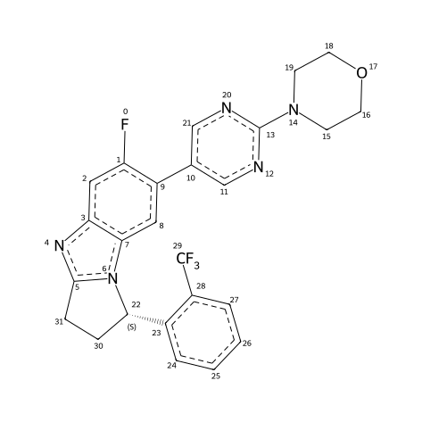 Fc1cc2nc3n(c2cc1-c1cnc(N2CCOCC2)nc1)[C@H](c1ccccc1C(F)(F)F)CC3